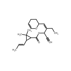 C#CC(OC(=O)C1C(C=CC)C1(C)C)C(=CC1CCC=CO1)CC